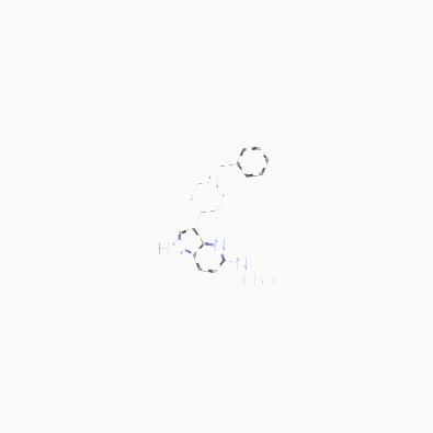 CCCCNc1ccc2[nH]cc(C3CCN(Cc4ccccc4)CC3)c2n1